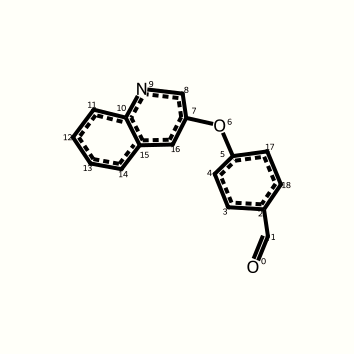 O=[C]c1ccc(Oc2cnc3ccccc3c2)cc1